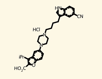 CC(C)c1c(C(=O)O)oc2ccc(N3CCN(CCCCc4c[nH]c5ccc(C#N)cc45)CC3)cc12.Cl